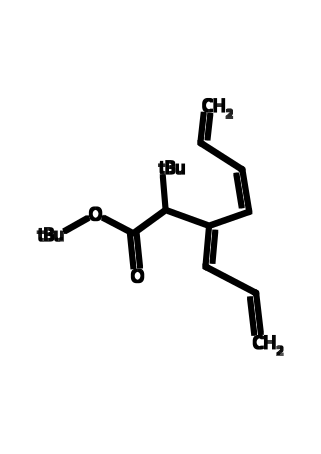 C=C/C=C\C(=C/C=C)C(C(=O)OC(C)(C)C)C(C)(C)C